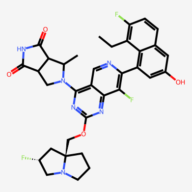 CCc1c(F)ccc2cc(O)cc(-c3ncc4c(N5CC6C(=O)NC(=O)C6C5C)nc(OC[C@@]56CCCN5C[C@H](F)C6)nc4c3F)c12